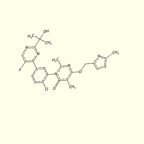 Cc1nc(COc2nc(C)n(-c3cc(-c4nc(C(C)(C)O)ncc4F)ccc3Cl)c(=O)c2C)cs1